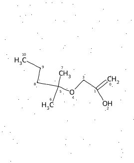 C=C(O)COC(C)(C)CCC